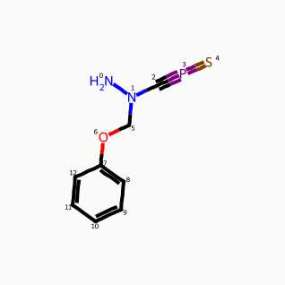 NN(C#P=S)COc1ccccc1